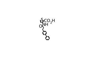 O=C(CCc1ccc(-c2ccccc2)cc1)Nc1ccsc1C(=O)O